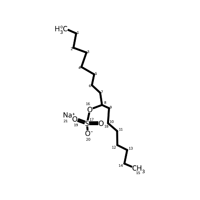 CCCCCCCCC(CCCCCCC)OS(=O)(=O)[O-].[Na+]